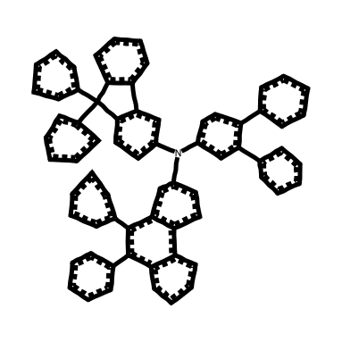 c1ccc(-c2ccc(N(c3ccc4c(c3)-c3ccccc3C4(c3ccccc3)c3ccccc3)c3ccc4c(c3)c(-c3ccccc3)c(-c3ccccc3)c3ccccc34)cc2-c2ccccc2)cc1